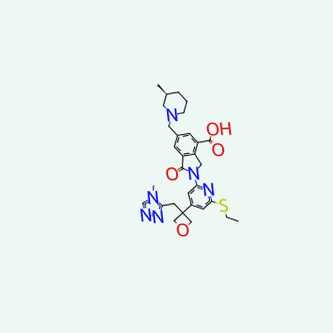 CCSc1cc(C2(Cc3nncn3C)COC2)cc(N2Cc3c(C(=O)O)cc(CN4CCC[C@H](C)C4)cc3C2=O)n1